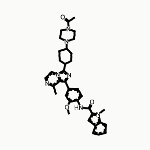 COc1cc(-c2nc(C3CCC(N4CCN(C(C)=O)CC4)CC3)n3ccnc(C)c23)ccc1NC(=O)c1cc2ccccc2n1C